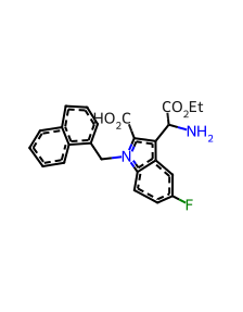 CCOC(=O)C(N)c1c(C(=O)O)n(Cc2cccc3ccccc23)c2ccc(F)cc12